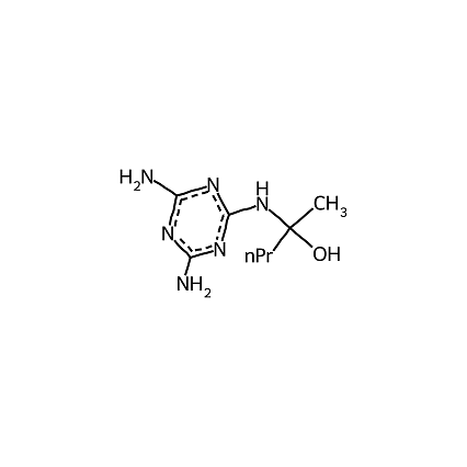 CCCC(C)(O)Nc1nc(N)nc(N)n1